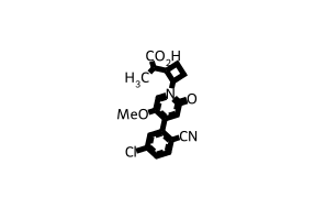 COc1cn(C2CCC2C(C)C(=O)O)c(=O)cc1-c1cc(Cl)ccc1C#N